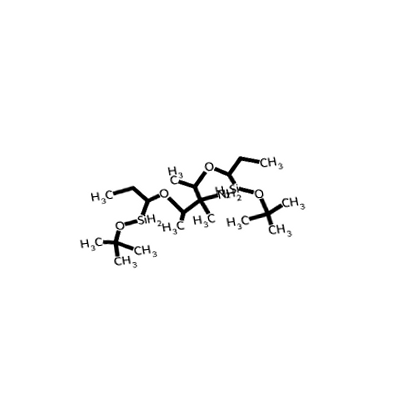 CCC(OC(C)C(C)(N)C(C)OC(CC)[SiH2]OC(C)(C)C)[SiH2]OC(C)(C)C